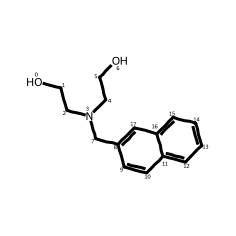 OCCN(CCO)Cc1ccc2ccccc2c1